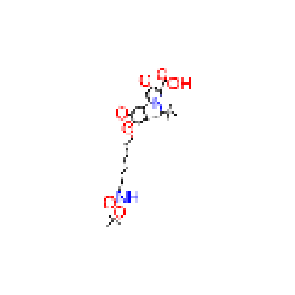 COc1cc2c(cc1OCCCCCCCCNC(=O)OC(C)(C)C)CC(C(C)(C)C)n1cc(C(=O)O)c(=O)cc1-2